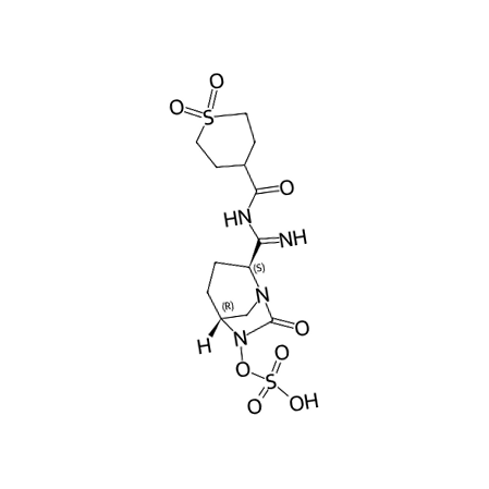 N=C(NC(=O)C1CCS(=O)(=O)CC1)[C@@H]1CC[C@@H]2CN1C(=O)N2OS(=O)(=O)O